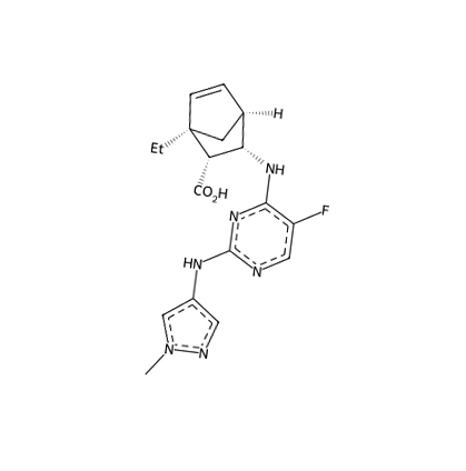 CC[C@]12C=C[C@H](C1)[C@H](Nc1nc(Nc3cnn(C)c3)ncc1F)[C@@H]2C(=O)O